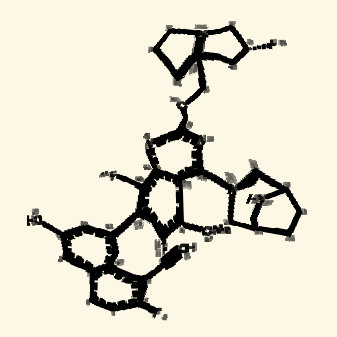 C#Cc1c(F)ccc2cc(O)cc(-c3c(F)c(OC)c4c(N5CC6CCC(C5)N6)nc(OC[C@@]56CCCN5C[C@H](F)C6)nc4c3F)c12